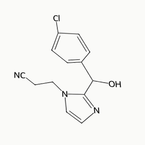 N#CCCn1ccnc1C(O)c1ccc(Cl)cc1